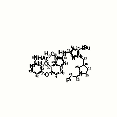 CC(=O)Nc1cc(Oc2cnc3nc(Nc4cc(C(C)(C)C)n(CC5CCN(CCF)C5)n4)n(C)c3c2C)ccn1